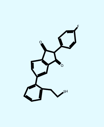 O=C1c2ccc(-c3ccccc3CCS)cc2C(=O)C1c1ccc(F)cc1